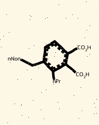 CCCCCCCCCCc1ccc(C(=O)O)c(C(=O)O)c1CCC